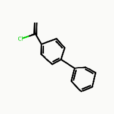 C=C(Cl)c1ccc(-c2ccccc2)cc1